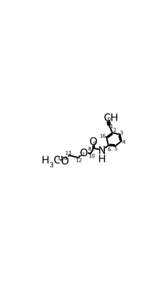 C#Cc1cccc(NC(=O)COCCOC)c1